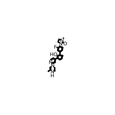 CC1=CN(c2cc(-c3cccc(-c4ccc(N5CCN(C)C5=O)c(F)c4)c3O)ccn2)CCN1